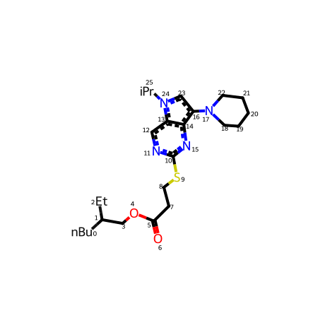 CCCCC(CC)COC(=O)CCSc1ncc2c(n1)c(N1CCCCC1)cn2C(C)C